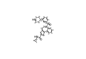 O=C(NC1CC1)c1cc2c(s1)-c1ccccc1N(C(=O)c1cccc(C3CCNCC3)n1)CC2